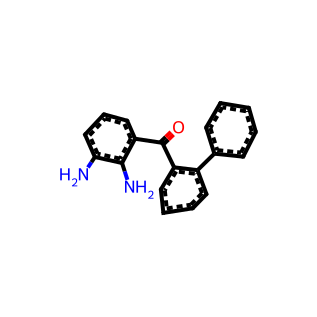 Nc1cccc(C(=O)c2ccccc2-c2ccccc2)c1N